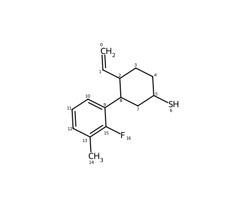 C=CC1CCC(S)CC1c1cccc(C)c1F